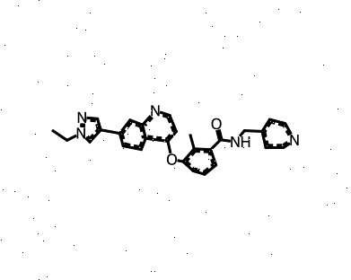 CCn1cc(-c2ccc3c(Oc4cccc(C(=O)NCc5ccncc5)c4C)ccnc3c2)cn1